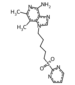 Cc1nc(N)c2ncn(CCCCCS(=O)(=O)c3ncccn3)c2c1C